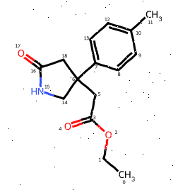 CCOC(=O)CC1(c2ccc(C)cc2)CNC(=O)C1